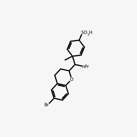 CCCC(C1CCc2cc(Br)ccc2O1)C1(C)C=CC(S(=O)(=O)O)C=C1